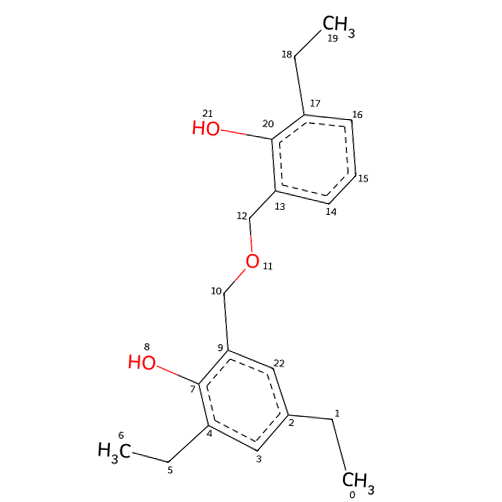 CCc1cc(CC)c(O)c(COCc2cccc(CC)c2O)c1